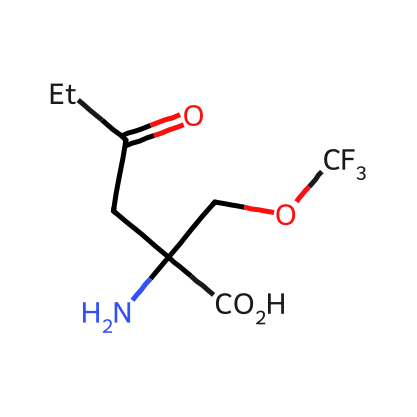 CCC(=O)CC(N)(COC(F)(F)F)C(=O)O